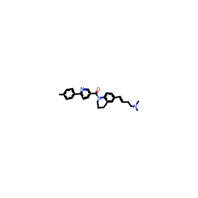 Cc1ccc(-c2ccc(C(=O)N3CCCc4cc(C=CCCN(C)C)ccc43)cn2)cc1